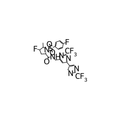 CC1C(F)CC(C(=O)NCc2cc(-c3cnc(C(F)(F)F)nc3)nc(C(F)(F)F)n2)N1S(=O)(=O)c1ccc(F)cc1